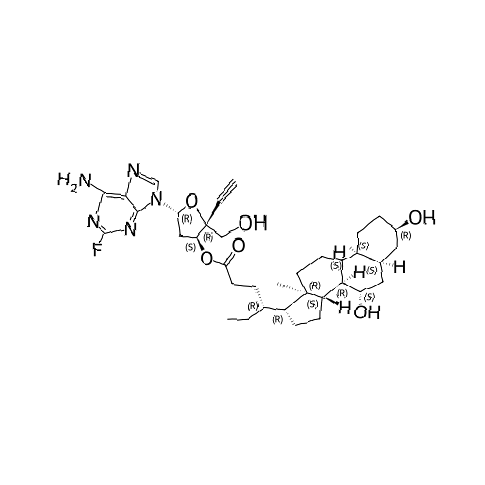 C#C[C@]1(CO)O[C@@H](n2cnc3c(N)nc(F)nc32)C[C@@H]1OC(=O)CC[C@@H](CC)[C@H]1CC[C@H]2[C@@H]3[C@@H](O)C[C@@H]4C[C@H](O)CC[C@]4(C)[C@H]3CC[C@]12C